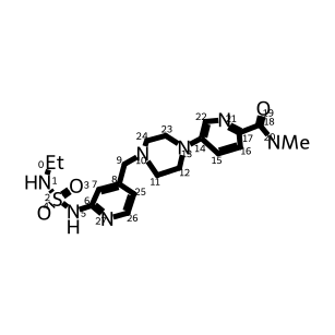 CCNS(=O)(=O)Nc1cc(CN2CCN(c3ccc(C(=O)NC)nc3)CC2)ccn1